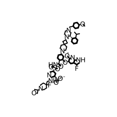 COc1ccc(CN2CCN(C3CC4(CCN(c5ccc(C(=O)NS(=O)(=O)c6cnc(NCC7(F)CCN(C8COC8)CC7)c([N+](=O)[O-])c6)c(Oc6cc7c(F)c[nH]c7nc6OC)c5)CC4)C3)[C@H](c3ccccc3C(C)C)C2)cc1